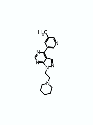 Cc1cncc(-c2ncnc3c2cnn3CCN2CCCCC2)c1